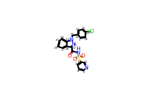 O=C(NS(=O)(=O)c1cccnc1)c1nn(Cc2ccc(Cl)cc2)c2ccccc12